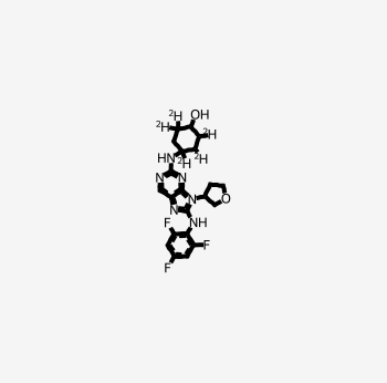 [2H]C1C(O)C([2H])([2H])CC([2H])(Nc2ncc3nc(Nc4c(F)cc(F)cc4F)n(C4CCOC4)c3n2)C1[2H]